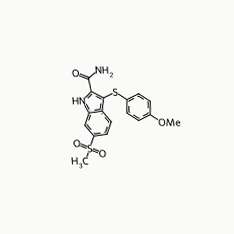 COc1ccc(Sc2c(C(N)=O)[nH]c3cc(S(C)(=O)=O)ccc23)cc1